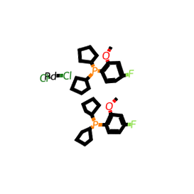 COc1cc(F)ccc1P(C1CCCC1)C1CCCC1.COc1cc(F)ccc1P(C1CCCC1)C1CCCC1.[Cl][Pd][Cl]